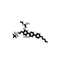 CCCCCc1ccc(-c2ccc(-c3cc(OCC(O)OCC)c(CCO[Si](C)(C)C(C)(C)C)cc3O)c(F)c2)cc1